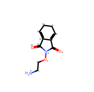 NCCON1C(=O)C2=CCCC=C2C1=O